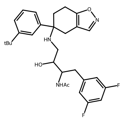 CC(=O)NC(Cc1cc(F)cc(F)c1)C(O)CNC1(c2cccc(C(C)(C)C)c2)CCc2oncc2C1